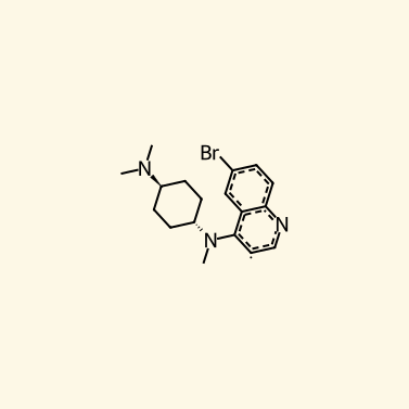 CN(C)[C@H]1CC[C@H](N(C)c2[c]cnc3ccc(Br)cc23)CC1